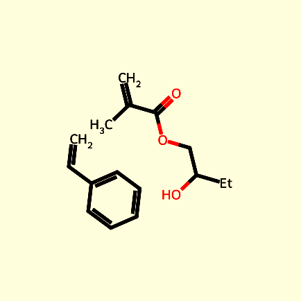 C=C(C)C(=O)OCC(O)CC.C=Cc1ccccc1